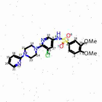 COc1ccc(S(=O)(=O)Nc2cnc(N3CCN(c4ccccn4)CC3)c(Cl)c2)cc1OC